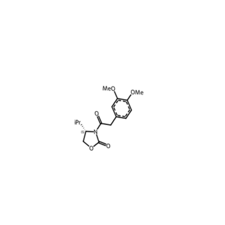 COc1ccc(CC(=O)N2C(=O)OC[C@@H]2C(C)C)cc1OC